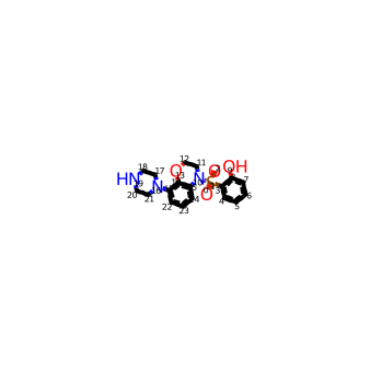 O=S(=O)(c1ccccc1O)N1CCOc2c(N3CCNCC3)cccc21